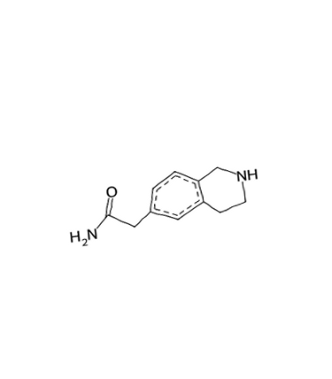 NC(=O)Cc1ccc2c(c1)CCNC2